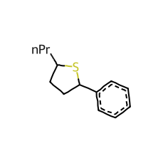 CCCC1CCC(c2ccccc2)S1